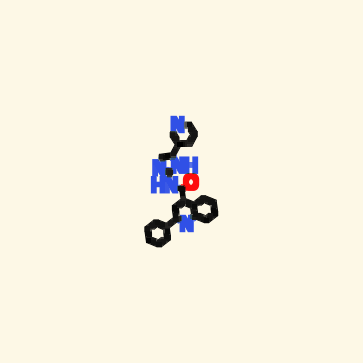 O=C(Nc1ncc(-c2cccnc2)[nH]1)c1cc(-c2ccccc2)nc2ccccc12